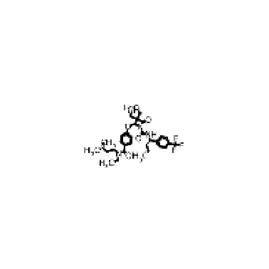 CCC[C@@H](NC(=O)N1C(=O)C(CC)(CC)C1Oc1ccc(C(=O)N(CC)CCN(C)C)cc1)c1ccc(C(F)(F)F)cc1